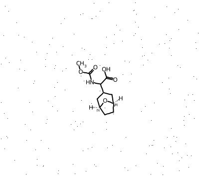 COC(=O)NC(C(=O)O)C1C[C@H]2CC[C@@H](C1)O2